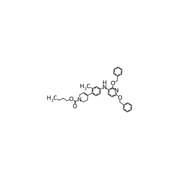 CCCCOC(=O)N1CC=C(c2ccc(Nc3ccc(OCc4ccccc4)nc3OCc3ccccc3)cc2C)CC1